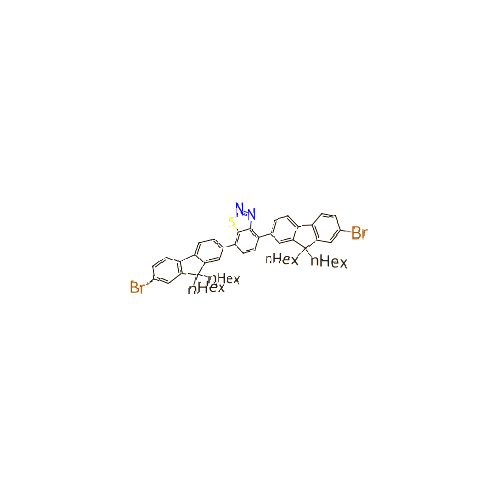 CCCCCCC1(CCCCCC)c2cc(Br)ccc2-c2ccc(-c3ccc(-c4ccc5c(c4)C(CCCCCC)(CCCCCC)c4cc(Br)ccc4-5)c4snnc34)cc21